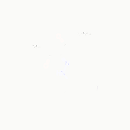 COCC(=O)/C(=N/Nc1cc(I)ccc1F)C(=O)OC